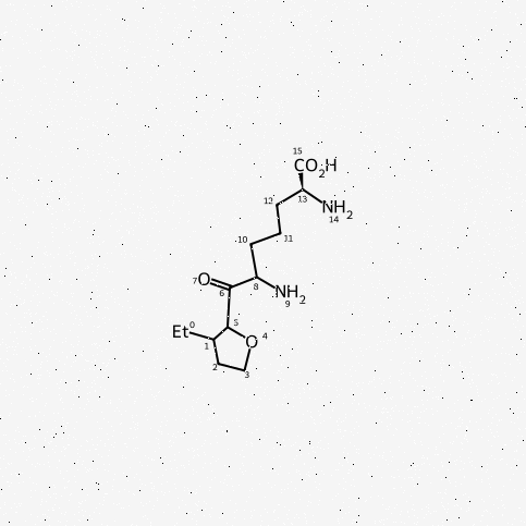 CCC1CCOC1C(=O)C(N)CCC[C@H](N)C(=O)O